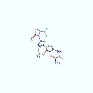 CC(Nc1ccc2c(c1)OC1(CC1)Cn1cc(N3C(=O)OC[C@H]3C(F)F)nc1-2)C(N)=O